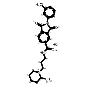 Cc1cccc(N2C(=O)c3ccc(C(=O)NCCCN4CCCCC4C)cc3C2=O)c1.Cl